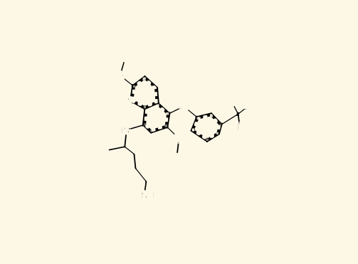 COc1ccc2c(Oc3cccc(C(F)(F)F)c3)c(OC)cc(NC(C)CCCN)c2n1